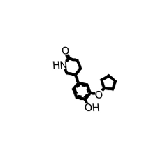 O=C1CCC(c2ccc(O)c(OC3CCCC3)c2)CN1